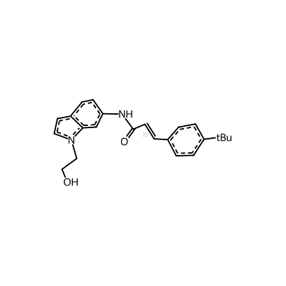 CC(C)(C)c1ccc(/C=C/C(=O)Nc2ccc3ccn(CCO)c3c2)cc1